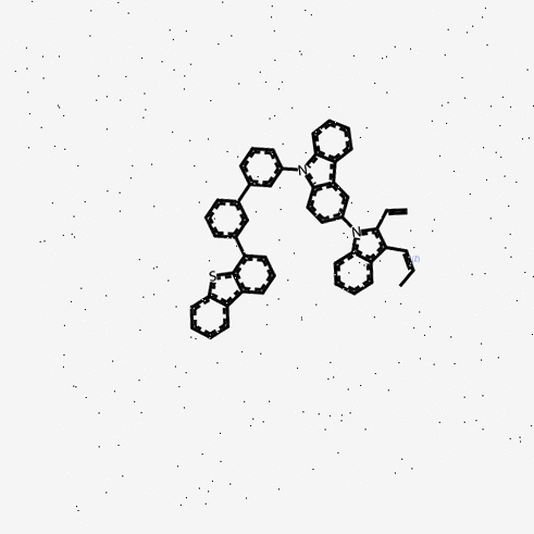 C=Cc1c(/C=C\C)c2ccccc2n1-c1ccc2c(c1)c1ccccc1n2-c1cccc(-c2cccc(-c3cccc4c3sc3ccccc34)c2)c1